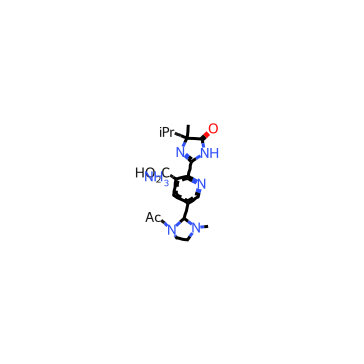 CC(=O)N1CCN(C)C1c1cnc(C2=NC(C)(C(C)C)C(=O)N2)c(C(=O)O)c1.N